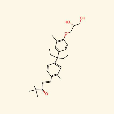 CCC(CC)(c1ccc(/C=C/C(=O)C(C)(C)C)c(C)c1)c1ccc(OC[C@H](O)CO)c(C)c1